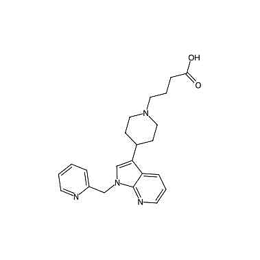 O=C(O)CCCN1CCC(c2cn(Cc3ccccn3)c3ncccc23)CC1